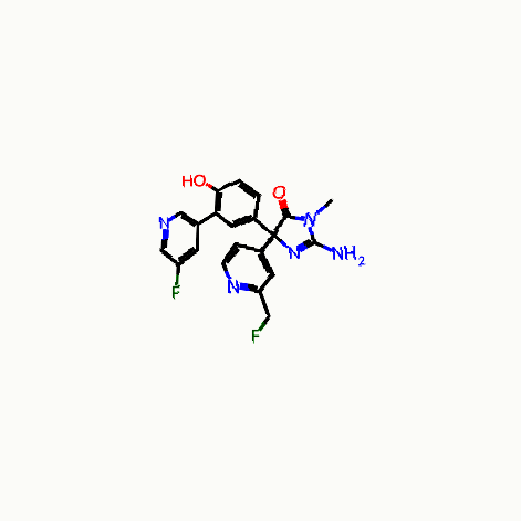 CN1C(=O)C(c2ccnc(CF)c2)(c2ccc(O)c(-c3cncc(F)c3)c2)N=C1N